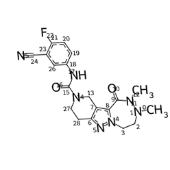 CN1CCn2nc3c(c2C(=O)N1C)CN(C(=O)Nc1ccc(F)c(C#N)c1)CC3